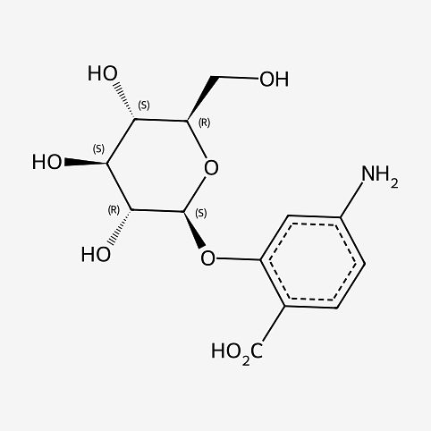 Nc1ccc(C(=O)O)c(O[C@@H]2O[C@H](CO)[C@@H](O)[C@H](O)[C@H]2O)c1